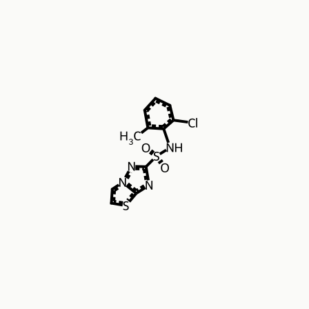 Cc1cccc(Cl)c1NS(=O)(=O)c1nc2sccn2n1